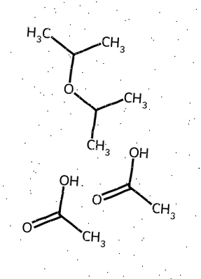 CC(=O)O.CC(=O)O.CC(C)OC(C)C